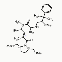 CNC(CNC(C(=O)N(C)C(/C=C(\C)C(=O)N1[C@H](COC)CC[C@H]1COC)C(C)C)C(C)(C)C)C(C)(C)c1ccccc1